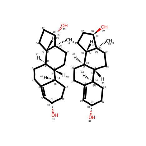 C[C@]12CC[C@H]3[C@@H](CCC4=C[C@@H](O)CC[C@@H]43)[C@@H]1CC[C@@H]2O.C[C@]12CC[C@H]3[C@@H](CCC4=C[C@@H](O)CC[C@@H]43)[C@@H]1CC[C@H]2O